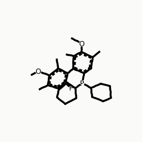 COc1c(C)cc(F)c(-c2c(P(C3CCCCC3)C3CCCCC3)cc(C)c(OC)c2C)c1C